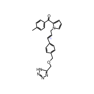 Cc1ccc(C(=O)c2cccn2C/C=C/c2ccc(COCc3nnn[nH]3)cc2)cc1